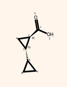 O=C(O)[C@@H]1C[C@H]1C1CC1